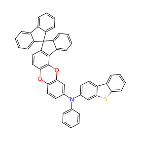 c1ccc(N(c2ccc3c(c2)Oc2c(ccc4c2-c2ccccc2C42c4ccccc4-c4ccccc42)O3)c2ccc3c(c2)sc2ccccc23)cc1